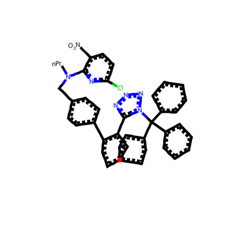 CCCN(Cc1ccc(-c2ccccc2-c2nnnn2C(c2ccccc2)(c2ccccc2)c2ccccc2)cc1)c1nc(Cl)ccc1[N+](=O)[O-]